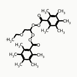 [CH2]COC[C](OOC(=O)c1c(C)c(C)c(C)c(C)c1C)OOC(=O)c1c(C)c(C)c(C)c(C)c1C